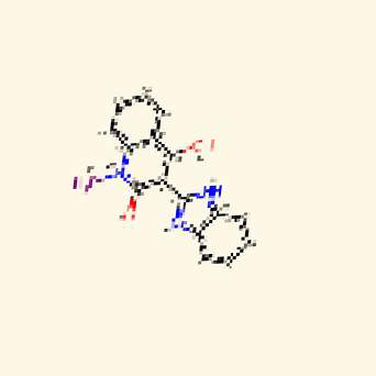 O=c1c(-c2nc3ccccc3[nH]2)c(O)c2ccccc2n1P